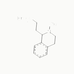 CCOC(=O)CCC1c2ccccc2CCN1C(C)CC